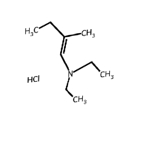 CCC(C)=CN(CC)CC.Cl